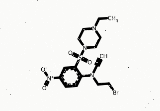 C#CN(CCBr)c1ccc([N+](=O)[O-])cc1S(=O)(=O)N1CCN(CC)CC1